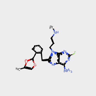 CC(C)NCCCn1c(Cc2ccccc2C2OC=C(C#N)O2)nc2c(N)nc(F)nc21